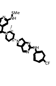 CSNc1cc(C(=O)N2CC[C@@H](N3Cc4cnc(NC5=CCC(C(F)(F)F)=CC=C5)nc4C3)C[C@H]2C)ccn1